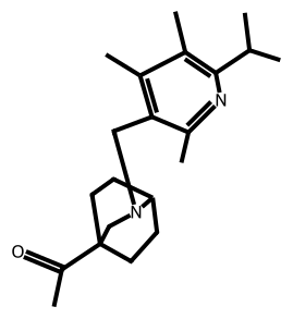 CC(=O)C12CCC(CC1)N(Cc1c(C)nc(C(C)C)c(C)c1C)C2